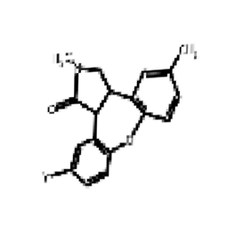 Cc1ccc2c(c1)C1CN(C)C(=O)C1c1c[c]([Y])ccc1O2